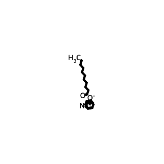 CCCCCCCCCCC(=O)[O-].[Na+].c1cc2ccc1cc2